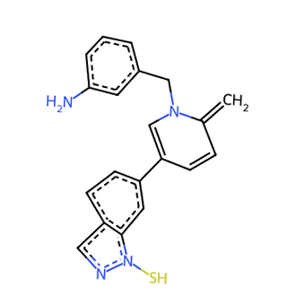 C=C1C=CC(c2ccc3cnn(S)c3c2)=CN1Cc1cccc(N)c1